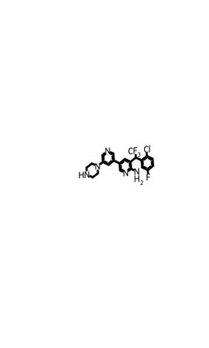 Nc1ncc(-c2cncc(N3CCNCC3)c2)cc1C(c1cc(F)ccc1Cl)C(F)(F)F